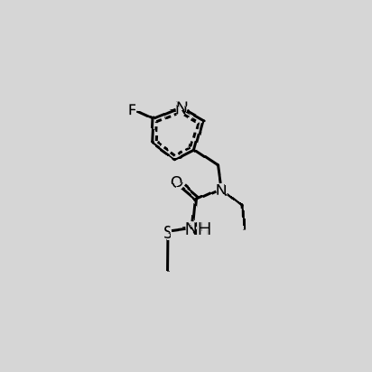 CCN(Cc1ccc(F)nc1)C(=O)NSC